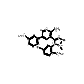 COc1ccc(F)cc1N1C(c2cc(-c3cccc(NC(C)=O)c3)cnc2N)=NNN1C